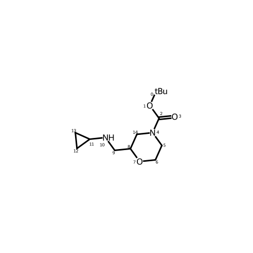 CC(C)(C)OC(=O)N1CCOC(CNC2CC2)C1